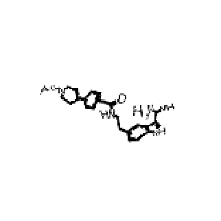 CC(=O)N1CCC(c2ccc(C(=O)NCCc3ccc4[nH]cc(C(=N)N)c4c3)cc2)CC1